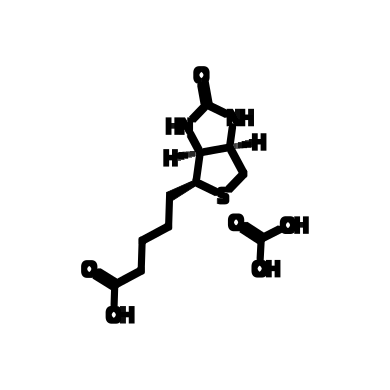 O=C(O)CCCC[C@@H]1SC[C@@H]2NC(=O)N[C@@H]21.O=C(O)O